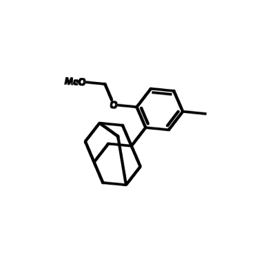 COCOc1ccc(C)cc1C12CC3CC(CC(C3)C1)C2